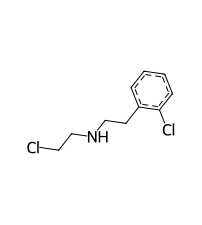 ClCCNCCc1ccccc1Cl